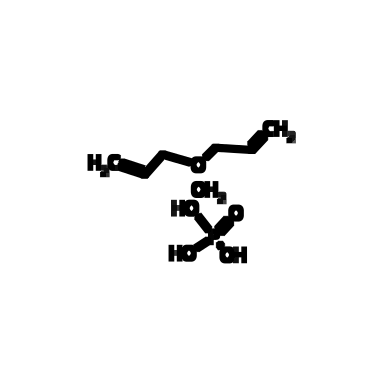 C=CCOCC=C.O.O=P(O)(O)O